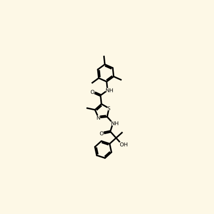 Cc1cc(C)c(NC(=O)c2sc(NC(=O)C(C)(O)c3ccccc3)nc2C)c(C)c1